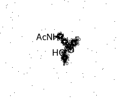 CC(=O)Nc1cccc(-c2ccc([C@@H]3[C@@H](CC[C@H](O)c4ccc(F)cc4)C(=O)N3c3ccc(F)cc3)cc2)c1